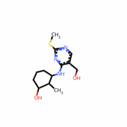 CSc1ncc(CO)c(NC2CCCC(O)C2C)n1